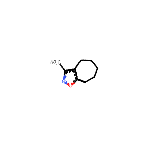 O=C(O)c1noc2c1CCCCC2